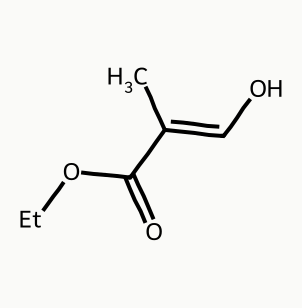 CCOC(=O)/C(C)=C/O